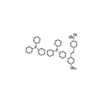 CC(C)(C)c1ccc(/C=C/c2ccc(C(C)(C)C)cc2)cc1.[Ni].c1ccc(P(c2ccccc2)c2ccccc2)cc1.c1ccc(P(c2ccccc2)c2ccccc2)cc1